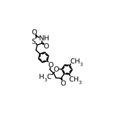 Cc1cc(C)c2c(c1)OC(C)(COc1ccc(CC3SC(=O)NC3=O)cc1)CC2=O